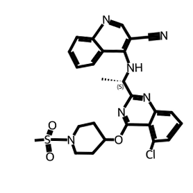 C[C@H](Nc1c(C#N)cnc2ccccc12)c1nc(OC2CCN(S(C)(=O)=O)CC2)c2c(Cl)cccc2n1